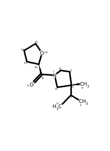 CC(C)[C@@]1(C)CCN(C(=O)[C@H]2CCCO2)C1